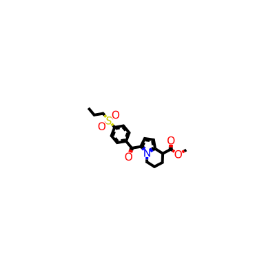 CCCS(=O)(=O)c1ccc(C(=O)c2ccc3n2CCCC3C(=O)OC)cc1